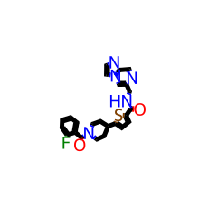 O=C(NCc1cn2ccnc2cn1)c1ccc(C2CCN(C(=O)c3ccccc3F)CC2)s1